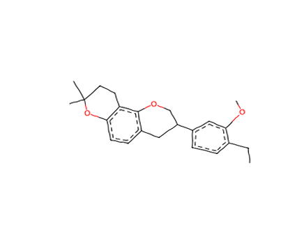 CCc1ccc(C2COc3c(ccc4c3CCC(C)(C)O4)C2)cc1OC